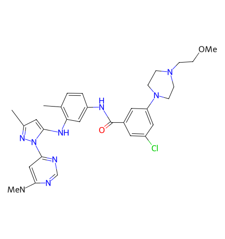 CNc1cc(-n2nc(C)cc2Nc2cc(NC(=O)c3cc(Cl)cc(N4CCN(CCOC)CC4)c3)ccc2C)ncn1